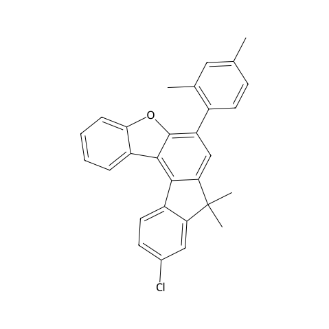 Cc1ccc(-c2cc3c(c4c2oc2ccccc24)-c2ccc(Cl)cc2C3(C)C)c(C)c1